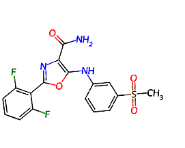 CS(=O)(=O)c1cccc(Nc2oc(-c3c(F)cccc3F)nc2C(N)=O)c1